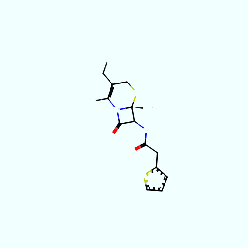 CO[C@]12SCC(COC(C)=O)=C(C(=O)O)N1C(=O)C2NC(=O)Cc1cccs1